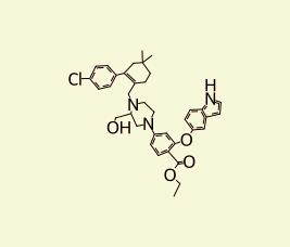 CCOC(=O)c1ccc(N2CCN(CC3=C(c4ccc(Cl)cc4)CC(C)(C)CC3)C(CO)C2)cc1Oc1ccc2[nH]ccc2c1